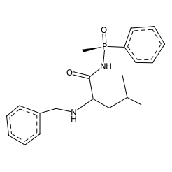 CC(C)CC(NCc1ccccc1)C(=O)N[P@](C)(=O)c1ccccc1